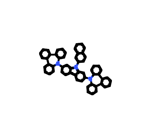 c1ccc2c(c1)-c1ccccc1N(c1ccc3c4ccc(N5c6ccccc6-c6ccccc6-c6ccccc65)cc4n(-c4ccc5ccccc5c4)c3c1)c1ccccc1-2